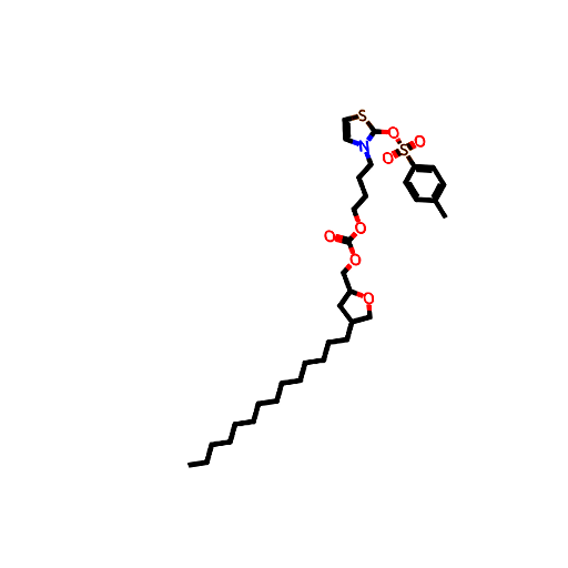 CCCCCCCCCCCCCCC1COC(COC(=O)OCCCCN2C=CSC2OS(=O)(=O)c2ccc(C)cc2)C1